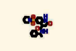 CC(NC(=O)c1cc(=O)[nH]c2ccc(S(=O)(=O)N3CCCCC3)cc12)c1ccccc1